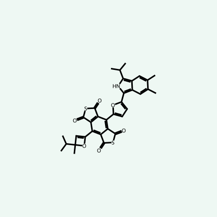 Cc1cc2c(-c3ccc(-c4c5c(=O)sc(=O)c5c(C5=CC(C)(C(C)C)O5)c5c(=O)sc(=O)c45)o3)[nH]c(C(C)C)c2cc1C